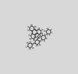 c1ccc(-c2ccc3c(c2)[Si]2(c4cc(-c5ccccc5)ccc4-3)c3cccc4c5ccccc5c5cccc2c5c34)cc1